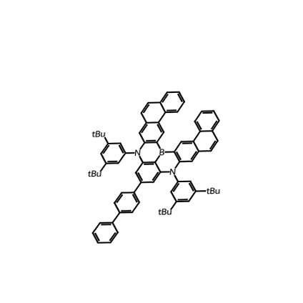 CC(C)(C)c1cc(N2c3cc4ccc5ccccc5c4cc3B3c4cc5c(ccc6ccccc65)cc4N(c4cc(C(C)(C)C)cc(C(C)(C)C)c4)c4cc(-c5ccc(-c6ccccc6)cc5)cc2c43)cc(C(C)(C)C)c1